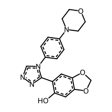 Oc1cc2c(cc1-c1nncn1-c1ccc(N3CCOCC3)cc1)OCO2